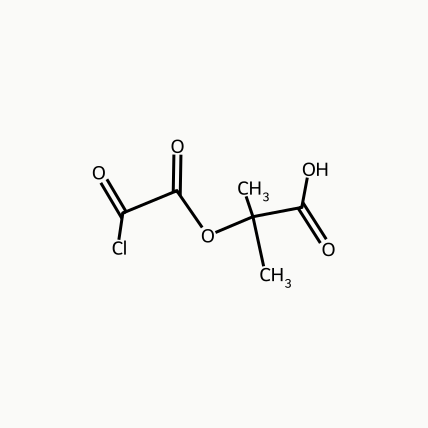 CC(C)(OC(=O)C(=O)Cl)C(=O)O